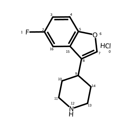 Cl.Fc1ccc2occ(C3CCNCC3)c2c1